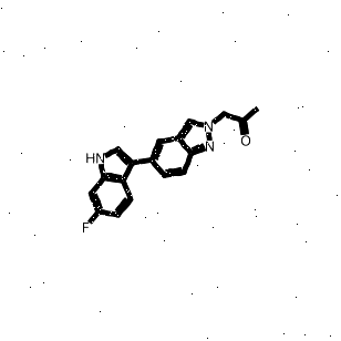 CC(=O)Cn1cc2cc(-c3c[nH]c4cc(F)ccc34)ccc2n1